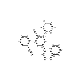 N#Cc1ccccc1-c1cc(-c2cccc3ccccc23)cn(-c2cccnc2)c1=O